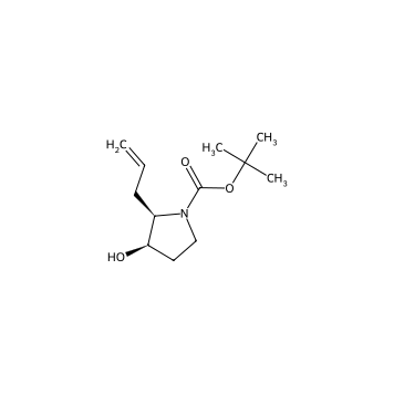 C=CC[C@@H]1[C@H](O)CCN1C(=O)OC(C)(C)C